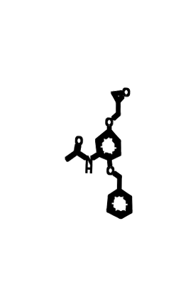 CC(=O)Nc1cc(OCC2CO2)ccc1OCc1ccccc1